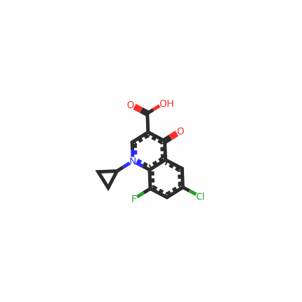 O=C(O)c1cn(C2CC2)c2c(F)cc(Cl)cc2c1=O